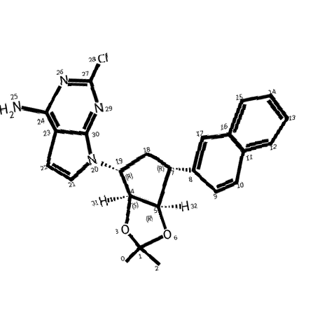 CC1(C)O[C@@H]2[C@H](O1)[C@@H](c1ccc3ccccc3c1)C[C@H]2n1ccc2c(N)nc(Cl)nc21